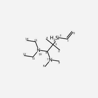 C=C[SiH2]C(C)(C)C(N(C)C)N(CC)CC